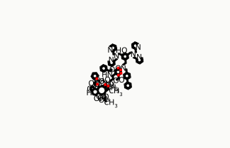 CC(=O)O[C@H]1C(=O)[C@@]2(C)[C@H]([C@H](OC(=O)c3ccccc3)[C@]3(O)C[C@H](OC(=O)[C@H](OC(=O)CCC(=O)N(CCc4cc(CN(Cc5ccccn5)Cc5ccccn5)c(O)c(CN(Cc5ccccn5)Cc5ccccn5)c4)Cc4ccc(-c5ccccc5)cc4)[C@@H](NC(=O)c4ccccc4)c4ccccc4)C(C)=C1C3(C)C)[C@]1(OC(C)=O)CO[C@@H]1C[C@@H]2O